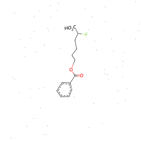 O=C(OCCCCC(F)C(=O)O)c1ccccc1